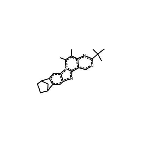 Cc1c(C)n2c3cc4c(cc3nc2c2cnc(C(C)(C)C)nc12)C1CCC4C1